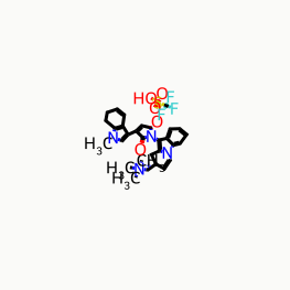 Cn1cc(C2=CC(=O)N(c3c4n(c5ccccc35)C=CC(C[N+](C)(C)C)C4)C2=O)c2c1CCC=C2.O=S(=O)(O)C(F)(F)F